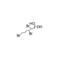 OC(O)=CC(Br)C(Br)CCCBr